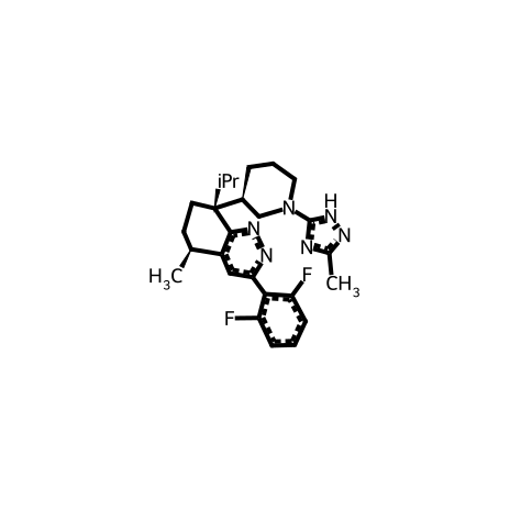 Cc1n[nH]c(N2CCC[C@H]([C@@]3(C(C)C)CC[C@H](C)c4cc(-c5c(F)cccc5F)nnc43)C2)n1